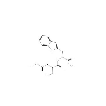 CNC(=O)[C@H](Cc1cc2ccccc2[nH]1)NC(=O)C(CC(=O)NO)CC(C)C